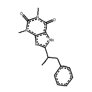 CC(Cc1ccccc1)c1nc2c([nH]1)c(=O)n(C)c(=O)n2C